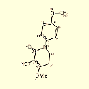 COC1=C(C#N)C(=O)N(c2ccc(OC(F)(F)F)cc2)CC1